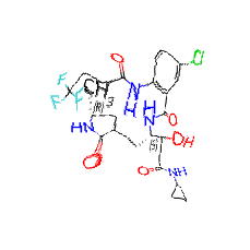 C[C@@H]1CC(C[C@H](NC(=O)c2cc(Cl)ccc2NC(=O)CCC(F)(F)F)C(O)C(=O)NC2CC2)C(=O)N1